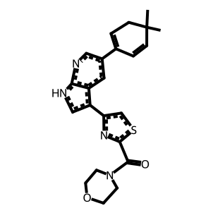 CC1(C)C=CC(c2cnc3[nH]cc(-c4csc(C(=O)N5CCOCC5)n4)c3c2)=CC1